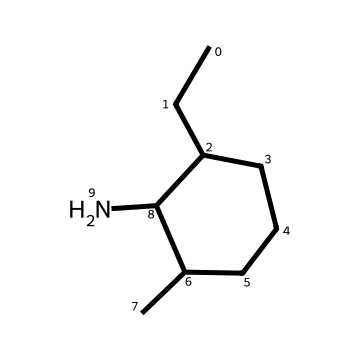 CCC1CCCC(C)C1N